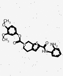 COc1ccc(OC(=O)N2CCc3cc(C(=O)Nc4ccccc4N)sc3C2)cc1OC